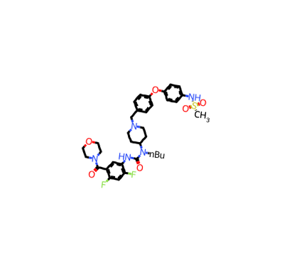 CCCCN(C(=O)Nc1cc(C(=O)N2CCOCC2)c(F)cc1F)C1CCN(Cc2ccc(Oc3ccc(NS(C)(=O)=O)cc3)cc2)CC1